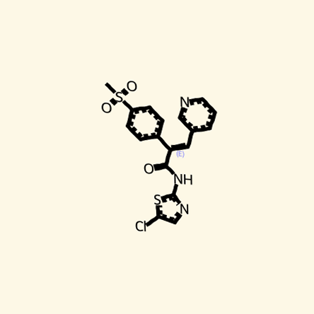 CS(=O)(=O)c1ccc(/C(=C\c2cccnc2)C(=O)Nc2ncc(Cl)s2)cc1